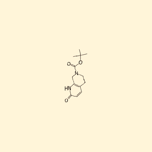 CC(C)(C)OC(=O)N1CCc2ccc(=O)[nH]c2C1